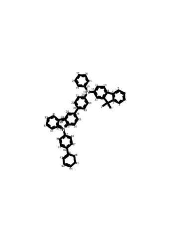 CC1(C)c2ccccc2-c2ccc(N(c3ccccc3)c3ccc(-c4ccc5c(c4)c4ccccc4n5-c4ccc(C5=CC=CCC5)cc4)cc3)cc21